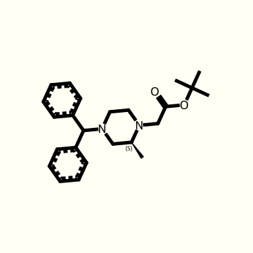 C[C@H]1CN(C(c2ccccc2)c2ccccc2)CCN1CC(=O)OC(C)(C)C